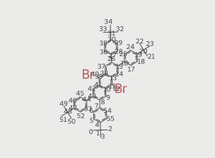 CC(C)(C)c1ccc(-c2cc3c(Br)c4cc(-c5ccc(C(C)(C)C)cc5)c(-c5ccc(C(C)(C)C)cc5)cc4c(Br)c3cc2-c2ccc(C(C)(C)C)cc2)cc1